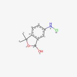 CC1(C)OB(O)c2cc(NCl)ccc21